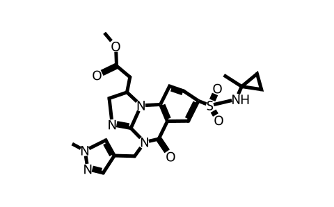 COC(=O)CC1CN=C2N(Cc3cnn(C)c3)C(=O)c3cc(S(=O)(=O)NC4(C)CC4)ccc3N21